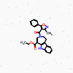 CCOC(=O)C1=CN(C(=O)c2c(C)noc2-c2ccccc2)CCc2c1[nH]c1ccccc21